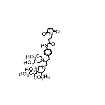 CC(CN(CC(=O)O)CC(Cc1ccc(NC(=O)CCN2C(=O)C=CC2=O)cc1)N(CC(=O)O)CC(=O)O)NC(C(=O)O)C(=O)O